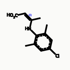 C/C(=C/C(=O)O)Nc1c(C)cc(Cl)cc1C